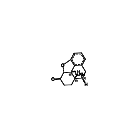 O=C1CC[C@H]2[C@H]3Cc4cccc5c4[C@@]2(CCN3)C1O5